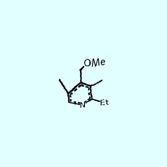 CCc1ncc(C)c(COC)c1C